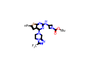 CCCc1cc2c(N3CCn4c(nnc4C(F)(F)F)C3)nc(NC3CN(C(=O)OC(C)(C)C)C3)nc2s1